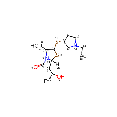 CC[C@H](O)[C@@H]1C(=O)N2C(C(=O)O)=C(S[C@H]3CCN(CC(C)=O)C3)S[C@H]12